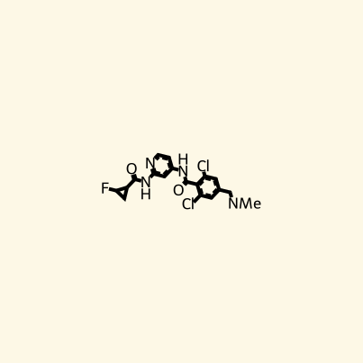 CNCc1cc(Cl)c(C(=O)Nc2ccnc(NC(=O)C3CC3F)c2)c(Cl)c1